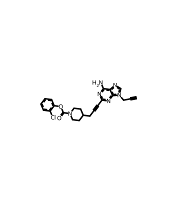 C#CCn1cnc2c(N)nc(C#CCC3CCN(C(=O)Oc4ccccc4Cl)CC3)nc21